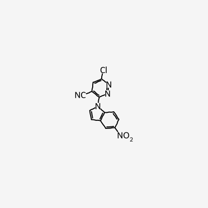 N#Cc1cc(Cl)nnc1-n1ccc2cc([N+](=O)[O-])ccc21